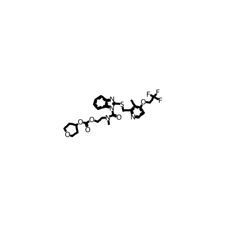 Cc1c(OCC(F)(F)F)ccnc1CSc1nc2ccccc2n1C(=O)N(C)CCOC(=O)OC1CCOCC1